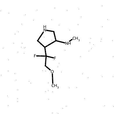 CNC1CNCC1C(F)(F)COC